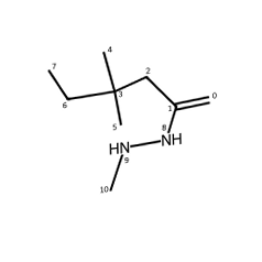 C=C(CC(C)(C)CC)NNC